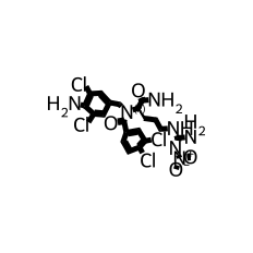 NC(=O)[C@@H](CCCNC(N)=N[N+](=O)[O-])N(Cc1cc(Cl)c(N)c(Cl)c1)C(=O)c1ccc(Cl)c(Cl)c1